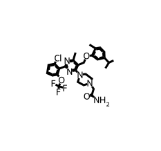 Cc1ccc(C(C)C)cc1OCc1c(C)nc(-c2c(Cl)cccc2OC(F)(F)F)nc1N1CCN(CC(N)=O)CC1